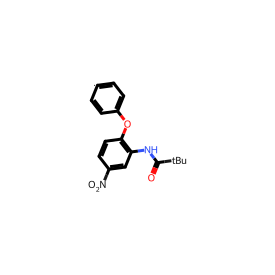 CC(C)(C)C(=O)Nc1cc([N+](=O)[O-])ccc1Oc1cc[c]cc1